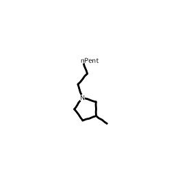 CCCCCCCN1CCC(C)C1